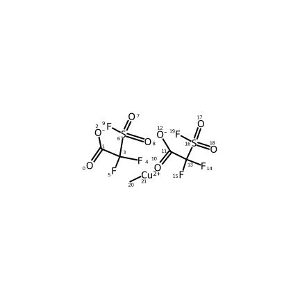 O=C([O-])C(F)(F)S(=O)(=O)F.O=C([O-])C(F)(F)S(=O)(=O)F.[CH3][Cu+2]